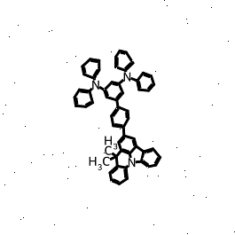 CC1(C)c2ccccc2-n2c3ccccc3c3cc(-c4ccc(-c5cc(N(c6ccccc6)c6ccccc6)cc(N(c6ccccc6)c6ccccc6)c5)cc4)cc1c32